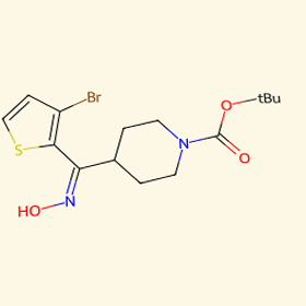 CC(C)(C)OC(=O)N1CCC(C(=NO)c2sccc2Br)CC1